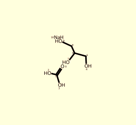 O=C(O)O.OCC(O)CO.[NaH]